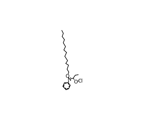 CCCCCCCCCCCCCCON(c1ccccc1)C(CC)OCl